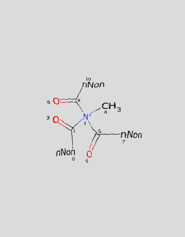 CCCCCCCCCC(=O)[N+](C)(C(=O)CCCCCCCCC)C(=O)CCCCCCCCC